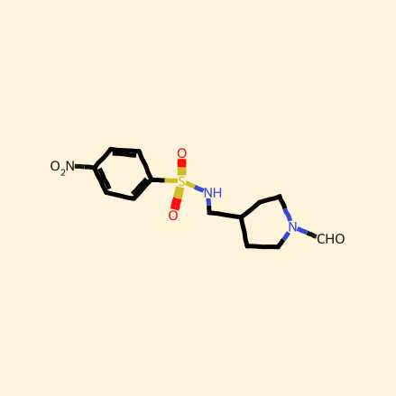 O=CN1CCC(CNS(=O)(=O)c2ccc([N+](=O)[O-])cc2)CC1